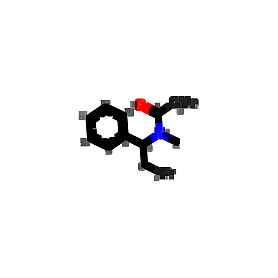 COC(=O)N(C)C(CC(C)C)c1ccccc1